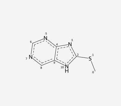 CSc1nc2ncncc2[nH]1